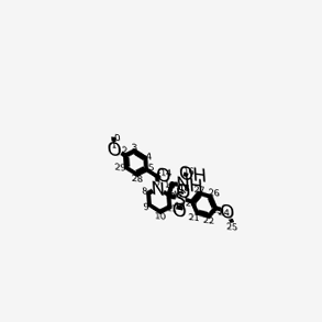 COc1ccc(CN2CCCCC2(C(=O)NO)S(=O)(=O)c2ccc(OC)cc2)cc1